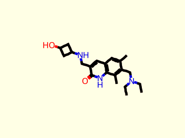 CCN(CC)Cc1c(C)cc2cc(CNC3CC(O)C3)c(=O)[nH]c2c1C